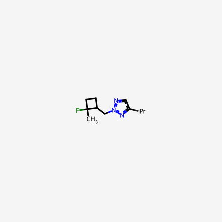 CC(C)c1cnn(CC2CCC2(C)F)n1